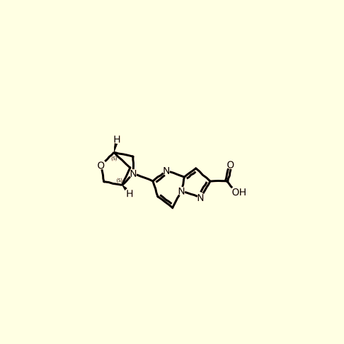 O=C(O)c1cc2nc(N3C[C@@H]4C[C@H]3CO4)ccn2n1